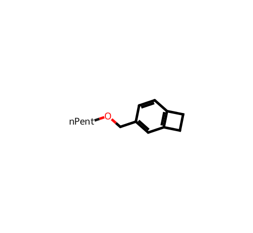 CCCCCOCc1ccc2c(c1)CC2